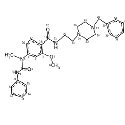 COc1cc(N(C)C(=O)Nc2ccccc2)ccc1C(=O)NCCN1CCN(Cc2ccccc2)CC1